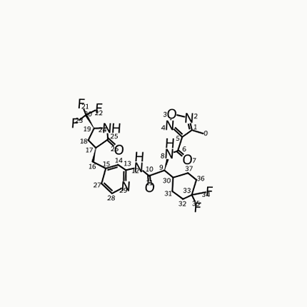 Cc1nonc1C(=O)N[C@H](C(=O)Nc1cc(C[C@H]2C[C@@H](C(F)(F)F)NC2=O)ccn1)C1CCC(F)(F)CC1